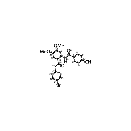 COc1cc(NC(=O)c2ccc(C#N)cc2)c(C(=O)Cc2ccc(Br)cn2)cc1OC